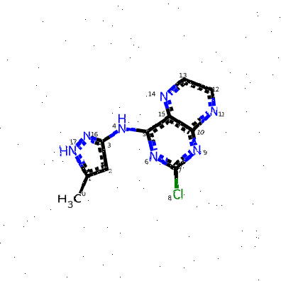 Cc1cc(Nc2nc(Cl)nc3nccnc23)n[nH]1